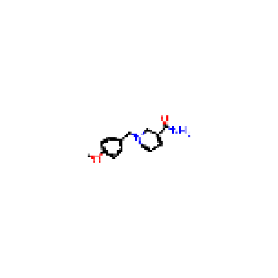 COc1ccc(CN2C=CC=C(C(N)=O)C2)cc1